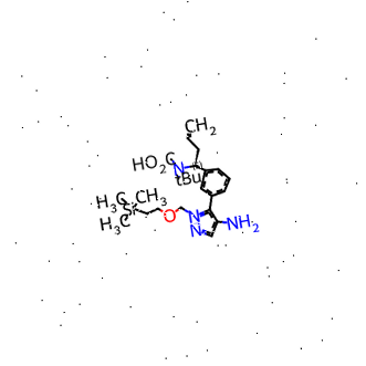 C=CC[C@@H](c1cccc(-c2c(N)cnn2COCC[Si](C)(C)C)c1)N(C(=O)O)C(C)(C)C